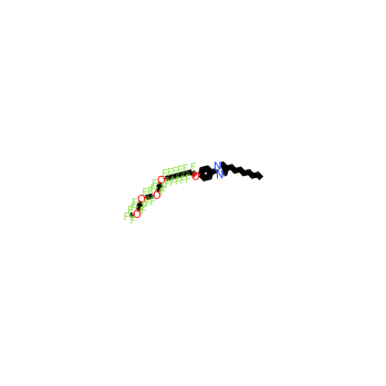 CCCCCCCCc1cnc(-c2ccc(OC(F)C(F)(F)C(F)(F)C(F)(F)C(F)(F)C(F)(F)OC(F)(F)C(F)(F)OC(F)(F)C(F)(F)OC(F)(F)C(F)(F)OC(F)(F)F)cc2)nc1